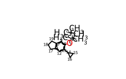 CC(C)(C)[Si](C)(C)Oc1cc2c(cc1C1CC1)CCC2